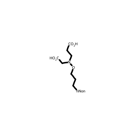 CCCCCCCCCCCCON(CCC(=O)O)CC(=O)O